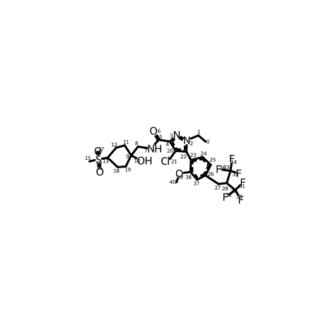 CCn1nc(C(=O)NCC2(O)CCC(S(C)(=O)=O)CC2)c(Cl)c1-c1ccc(CC(C(F)(F)F)C(F)(F)F)cc1OC